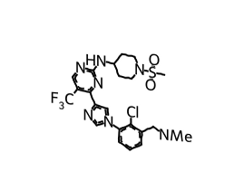 CNCc1cccc(-n2cnc(-c3nc(NC4CCN(S(C)(=O)=O)CC4)ncc3C(F)(F)F)c2)c1Cl